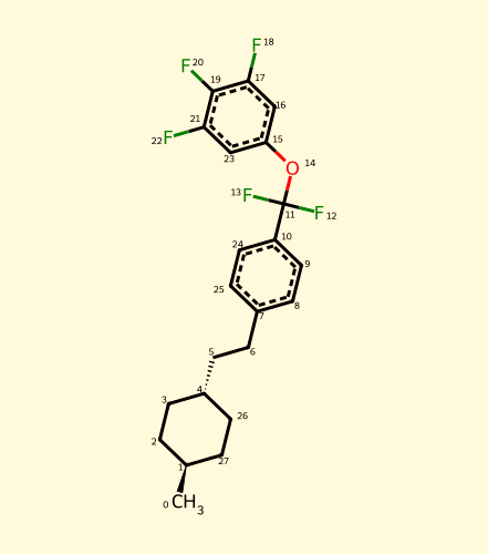 C[C@H]1CC[C@H](CCc2ccc(C(F)(F)Oc3cc(F)c(F)c(F)c3)cc2)CC1